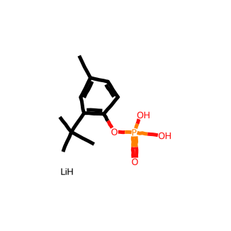 Cc1ccc(OP(=O)(O)O)c(C(C)(C)C)c1.[LiH]